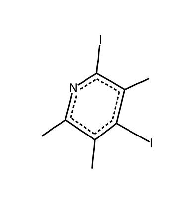 Cc1nc(I)c(C)c(I)c1C